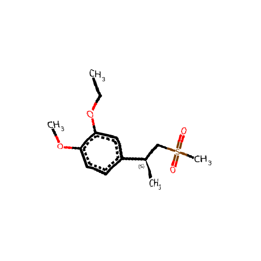 CCOc1cc([C@H](C)CS(C)(=O)=O)ccc1OC